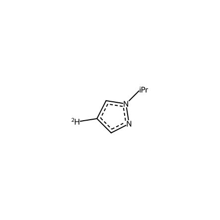 [2H]c1cnn(C(C)C)c1